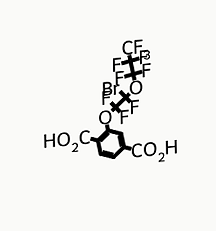 O=C(O)c1ccc(C(=O)O)c(OC(F)(F)C(F)(Br)OC(F)(F)C(F)(F)C(F)(F)F)c1